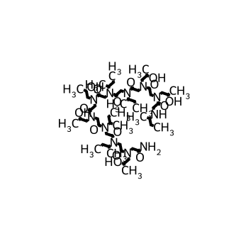 CCC(C)NCC(=O)N(CC(=O)N(CC(=O)N(CC(=O)N(CC(=O)N(CC(=O)N(CC(=O)N(CC(=O)N(CC(=O)N(CC(N)=O)CC(C)O)C(C)CC)C(C)CC)CC(C)O)CC(C)O)C(C)CC)C(C)CC)CC(C)O)CC(C)O